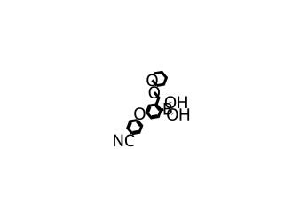 N#Cc1ccc(Oc2ccc(B(O)O)c(COC3CCCCO3)c2)cc1